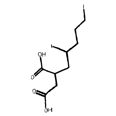 O=C(O)CC(CC(I)CCCI)C(=O)O